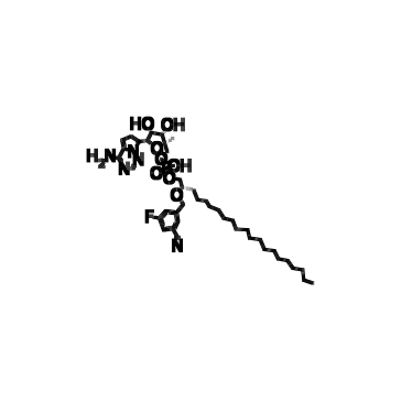 CCCCCCCCCCCCCCCCCCC[C@@H](COP(=O)(O)OC[C@@]1(C)O[C@@H](C2CC=C3C(N)=NC=NN32)[C@H](O)[C@@H]1O)OCc1cc(F)cc(C#N)c1